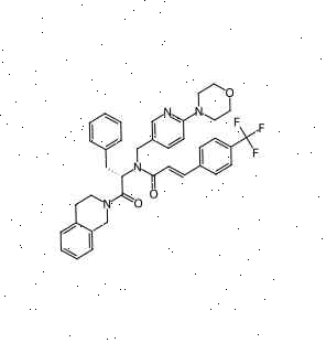 O=C([C@H](Cc1ccccc1)N(Cc1ccc(N2CCOCC2)nc1)C(=O)C=Cc1ccc(C(F)(F)F)cc1)N1CCc2ccccc2C1